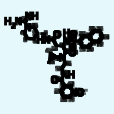 N=C(N)N1CCC[C@@H](CNC(=O)C[C@H](NS(=O)(=O)c2ccc3ccccc3c2)C(=O)N(CCNC(=O)c2ccc[n+]([O-])c2)C2CC2)C1